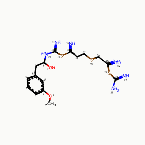 COc1cccc(CC(O)NC(=N)SC(=N)CCSCC(=N)SC(=N)N)c1